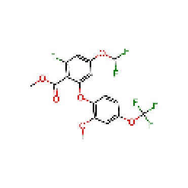 COC(=O)c1c(F)cc(OC(F)F)cc1Oc1ccc(OC(F)(F)F)cc1OC